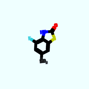 O=c1[nH]c2c(F)cc([N+](=O)[O-])cc2s1